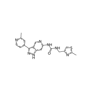 Cc1cc(-c2n[nH]c3cc(NC(=O)NCc4csc(C)n4)ncc23)ccn1